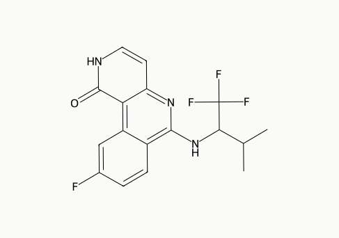 CC(C)C(Nc1nc2cc[nH]c(=O)c2c2cc(F)ccc12)C(F)(F)F